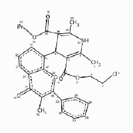 CC1=C(C(=O)OCCCl)C(c2cccc3c(=O)c(C)c(-c4ccccc4)oc23)C(C(=O)OC(C)C)=C(C)N1